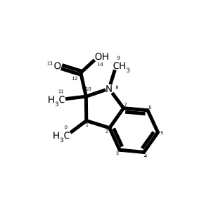 CC1c2ccccc2N(C)C1(C)C(=O)O